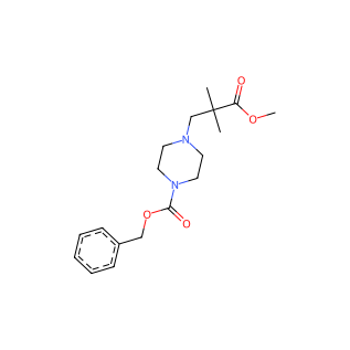 COC(=O)C(C)(C)CN1CCN(C(=O)OCc2ccccc2)CC1